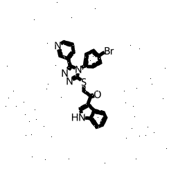 O=C(CSc1nnc(-c2cccnc2)n1-c1ccc(Br)cc1)c1c[nH]c2ccccc12